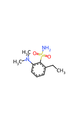 CCc1cccc(N(C)C)c1S(N)(=O)=O